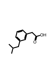 CC(C)Cc1cccc(CC(=O)O)c1